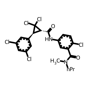 CCCN(C)C(=O)c1cc(NC(=O)[C@@H]2[C@@H](c3cc(Cl)cc(Cl)c3)C2(Cl)Cl)ccc1Cl